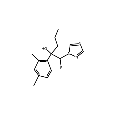 CCCC(O)(c1ccc(C)cc1C)C(F)n1cncn1